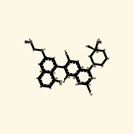 COCOc1cc(-c2c(F)cc3c(N4CCC[C@@](C)(O)C4)nc(F)nc3c2F)c2c(Cl)cccc2c1